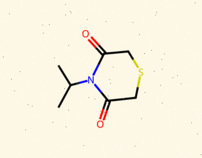 CC(C)N1C(=O)CSCC1=O